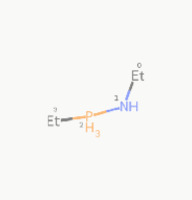 CCN[PH3]CC